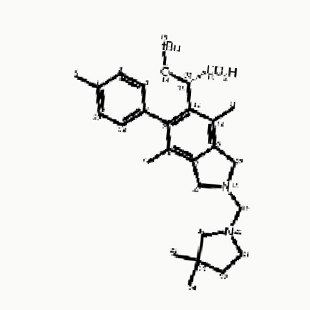 Cc1ccc(-c2c(C)c3c(c(C)c2[C@H](OC(C)(C)C)C(=O)O)CN(CN2CCC(C)(C)C2)C3)cc1